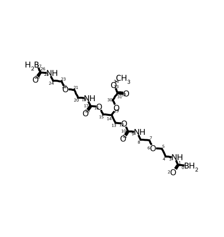 BC(=O)NCCOCCNC(=O)OCC(COC(=O)NCCOCCNC(B)=O)OCC(=O)OC